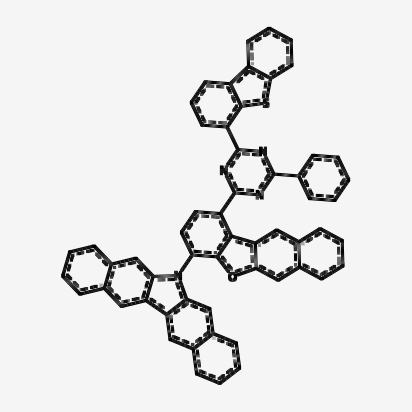 c1ccc(-c2nc(-c3cccc4c3sc3ccccc34)nc(-c3ccc(-n4c5cc6ccccc6cc5c5cc6ccccc6cc54)c4oc5cc6ccccc6cc5c34)n2)cc1